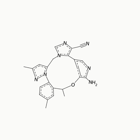 Cc1ccc2c(c1)C(C)Oc1cc(cnc1N)-c1c(C#N)ncn1Cc1cc(C)nn1-2